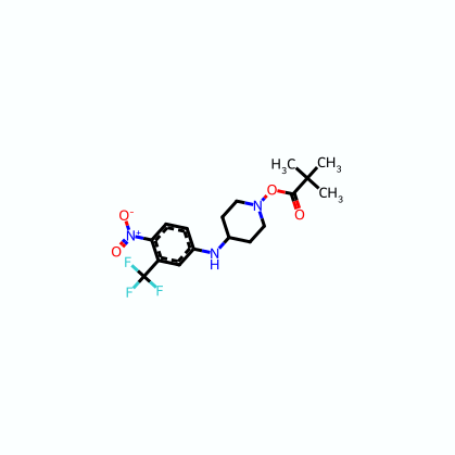 CC(C)(C)C(=O)ON1CCC(Nc2ccc([N+](=O)[O-])c(C(F)(F)F)c2)CC1